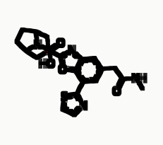 CNC(=O)Cc1cc(-c2nccs2)c2oc(N3CC4CCC(C3)N4C(=O)O)nc2c1